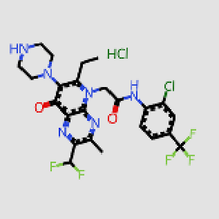 CCc1c(N2CCNCC2)c(=O)c2nc(C(F)F)c(C)nc2n1CC(=O)Nc1ccc(C(F)(F)F)cc1Cl.Cl